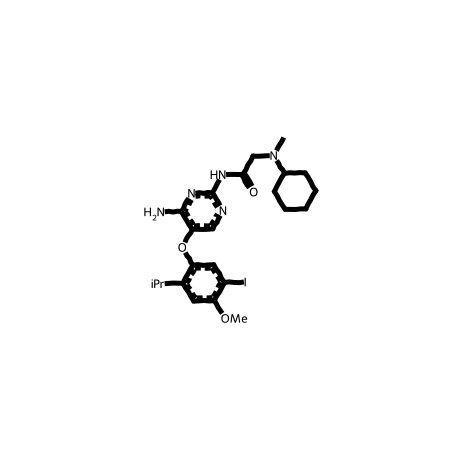 COc1cc(C(C)C)c(Oc2cnc(NC(=O)CN(C)C3CCCCC3)nc2N)cc1I